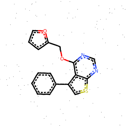 c1ccc(-c2csc3ncnc(OCc4ccco4)c23)cc1